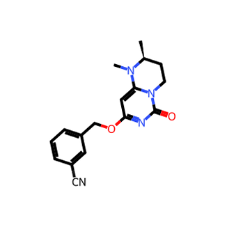 C[C@H]1CCn2c(cc(OCc3cccc(C#N)c3)nc2=O)N1C